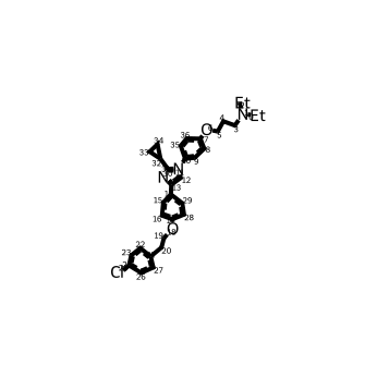 CCN(CC)CCCOc1ccc(-n2cc(-c3ccc(OCCc4ccc(Cl)cc4)cc3)nc2C2CC2)cc1